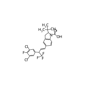 CC(C)(C)C1Cc2cc(C=CC(c3cc(Cl)c(F)c(Cl)c3)C(F)(F)F)ccc2N1C(=O)O